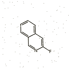 Fc1cc2ccccc2cn1